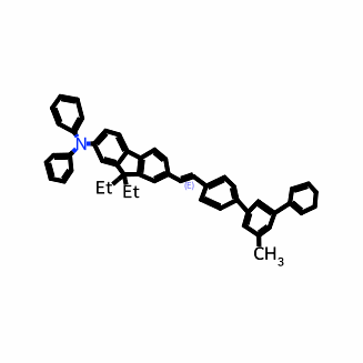 CCC1(CC)c2cc(/C=C/c3ccc(-c4cc(C)cc(C5=CCCC=C5)c4)cc3)ccc2-c2ccc(N(c3ccccc3)c3ccccc3)cc21